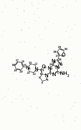 Nc1nc(N2CCC[C@H]2C(=O)N2CCN(c3ccccc3)CC2)nc2nc(-c3ccco3)nn12